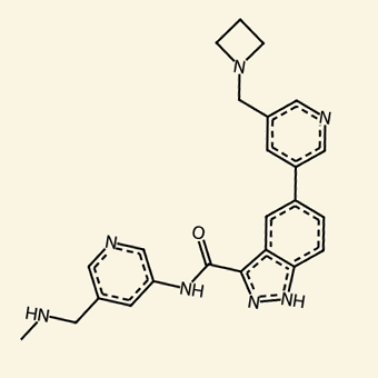 CNCc1cncc(NC(=O)c2n[nH]c3ccc(-c4cncc(CN5CCC5)c4)cc23)c1